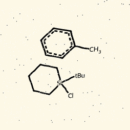 CC(C)(C)[Si]1(Cl)CCCCC1.Cc1ccccc1